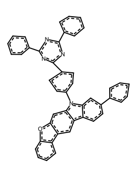 c1ccc(-c2ccc3c4cc5c(cc4n(-c4ccc(-c6nc(-c7ccccc7)nc(-c7ccccc7)n6)cc4)c3c2)oc2ccccc25)cc1